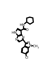 Cn1nc(-c2cnc3[nH]cc(C(=O)NC4CCCCC4)c3n2)c2ccc(Cl)cc21